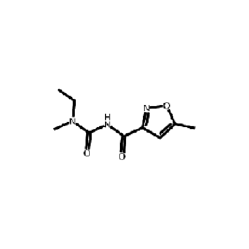 CCN(C)C(=O)NC(=O)c1cc(C)on1